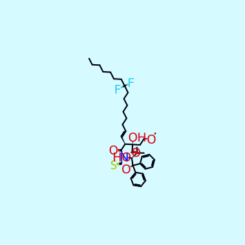 CCCCCCCC(F)(F)CCCCCCC=C[C@H](C(=O)N1C(=S)OC(c2ccccc2)(c2ccccc2)[C@@H]1C(C)C)[C@@](O)(CCOC)C(=O)O